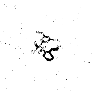 COc1nc(C)nc(N(C(N)=O)S(=O)(=O)c2ccccc2/C=C/C(F)(F)F)n1